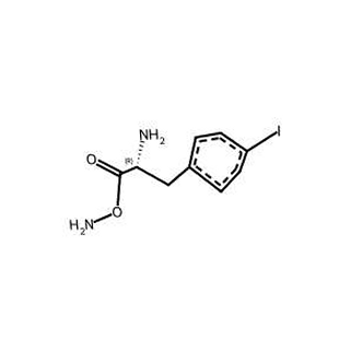 NOC(=O)[C@H](N)Cc1ccc(I)cc1